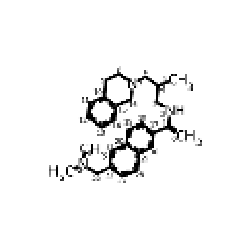 C=C(NCC(C)CN1CCc2ccccc2C1)c1ccc2cc(CN(C)C)ccc2c1